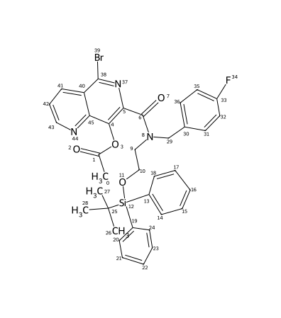 CC(=O)Oc1c(C(=O)N(CCO[Si](c2ccccc2)(c2ccccc2)C(C)(C)C)Cc2ccc(F)cc2)nc(Br)c2cccnc12